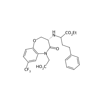 CCOC(=O)C(CCc1ccccc1)N[C@H]1COc2ccc(C(F)(F)F)cc2N(CC(=O)O)C1=O